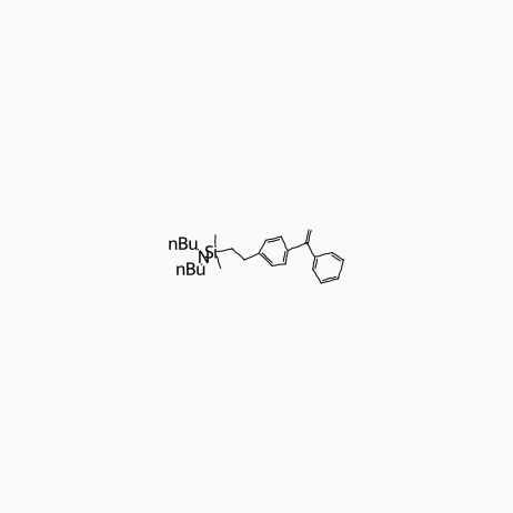 C=C(c1ccccc1)c1ccc(CC[Si](C)(C)N(CCCC)CCCC)cc1